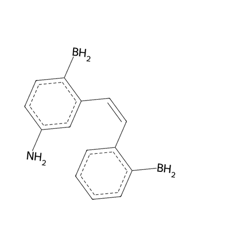 Bc1ccccc1/C=C\c1cc(N)ccc1B